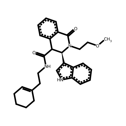 COCCN1C(=O)c2ccccc2C(C(=O)NCCC2=CCCCC2)[C@@H]1c1c[nH]c2ccccc12